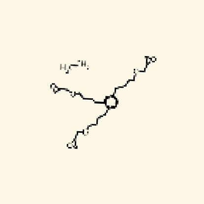 C=C.c1cc(CCCCOCC2CO2)c(CCCCOCC2CO2)cc1CCCCOCC1CO1